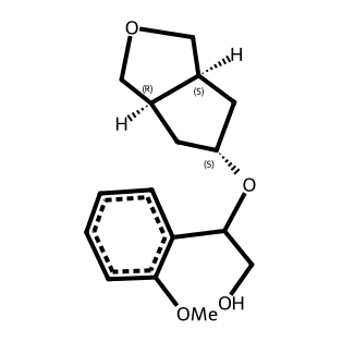 COc1ccccc1C(CO)O[C@@H]1C[C@H]2COC[C@H]2C1